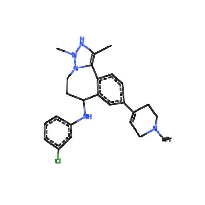 CCCN1CC=C(c2ccc3c(c2)C(Nc2cccc(Cl)c2)CCN2C3=C(C)NN2C)CC1